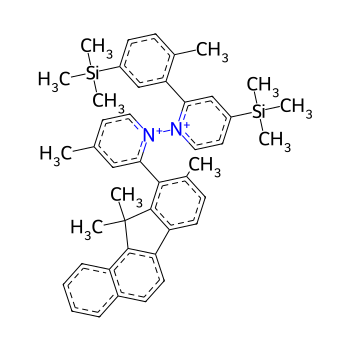 Cc1cc[n+](-[n+]2ccc([Si](C)(C)C)cc2-c2cc([Si](C)(C)C)ccc2C)c(-c2c(C)ccc3c2C(C)(C)c2c-3ccc3ccccc23)c1